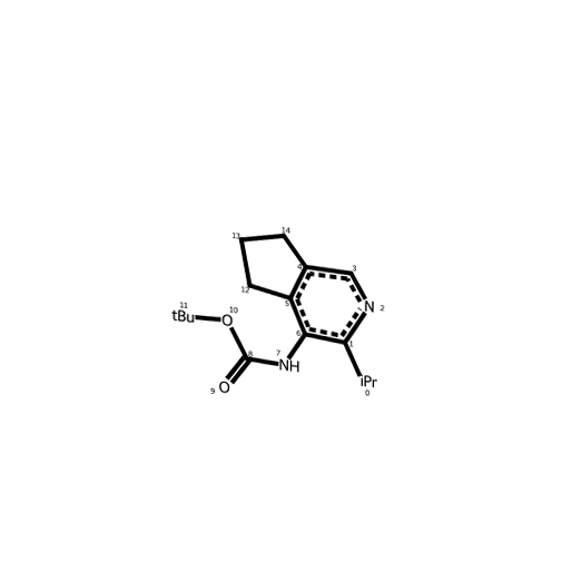 CC(C)c1ncc2c(c1NC(=O)OC(C)(C)C)CCC2